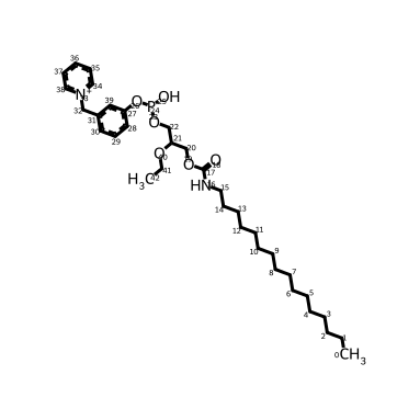 CCCCCCCCCCCCCCCCNC(=O)OCC(COP(O)Oc1cccc(C[n+]2ccccc2)c1)OCC